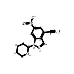 C#Cc1cc([N+](=O)[O-])cc2c1cnn2C1CCCCO1